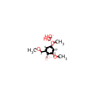 [B+2]c1c(COC)cc(OC)cc1OC.[OH-].[OH-]